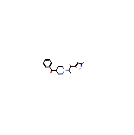 COc1cc(C(O)C(C)N2CCC(C(=O)c3ccccc3)CC2)on1